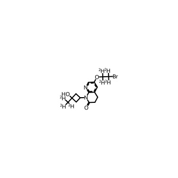 [2H]C([2H])([2H])C1(O)CC(N2C(=O)CCc3cc(OC([2H])([2H])C([2H])([2H])Br)cnc32)C1